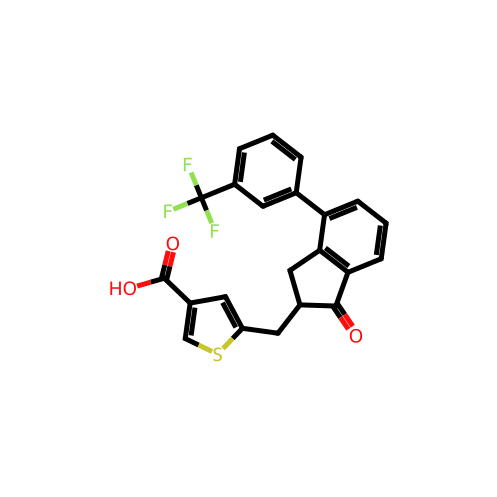 O=C(O)c1csc(CC2Cc3c(cccc3-c3cccc(C(F)(F)F)c3)C2=O)c1